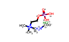 C[N+](C)(C)CCOP(=O)(O)O.Cl.NC(=O)[O-]